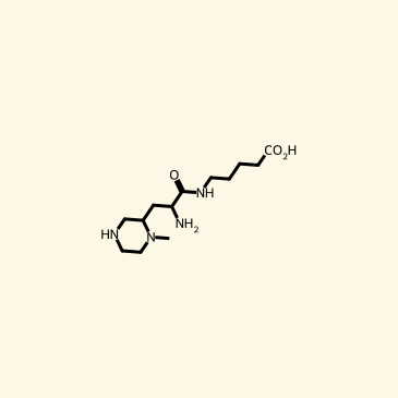 CN1CCNCC1CC(N)C(=O)NCCCCC(=O)O